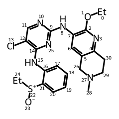 CCOc1nc2c(cc1Nc1ncc(Cl)c(Nc3ccccc3[S+]([O-])CC)n1)CN(C)CC2